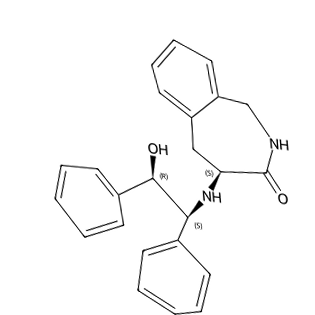 O=C1NCc2ccccc2C[C@@H]1N[C@@H](c1ccccc1)[C@H](O)c1ccccc1